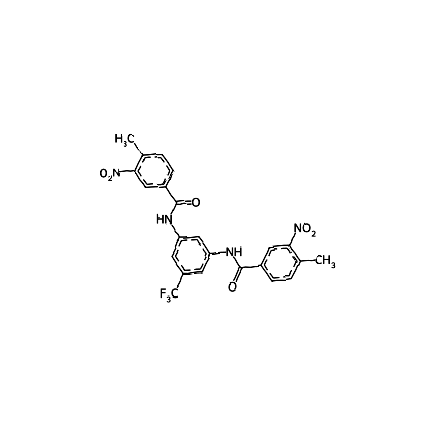 Cc1ccc(C(=O)Nc2cc(NC(=O)c3ccc(C)c([N+](=O)[O-])c3)cc(C(F)(F)F)c2)cc1[N+](=O)[O-]